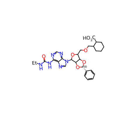 CCNC(=O)Nc1ncnc2c1ncn2C1OC(COCC2CCCCC2C(=O)O)C2O[C@H](c3ccccc3)OC21